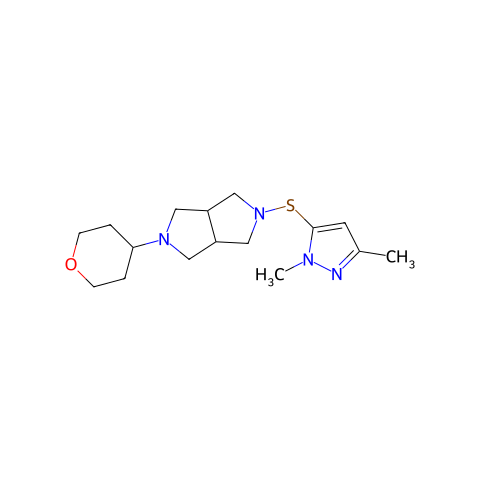 Cc1cc(SN2CC3CN(C4CCOCC4)CC3C2)n(C)n1